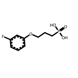 O=P(O)(O)CCCOc1cccc(F)c1